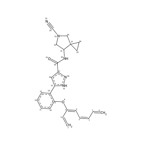 C=C/C=C\C=C(/C=C)Oc1ccccc1-c1cc(C(=O)NC2CN(C#N)CC23CC3)n[nH]1